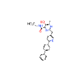 Cc1nc(Cc2ccc(-c3ccc(-c4ccccc4)cc3)nc2)nc(C(=O)NCC(=O)O)c1O